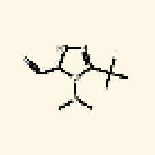 CN(C)N1C(C(F)(F)F)=NNC1C=O